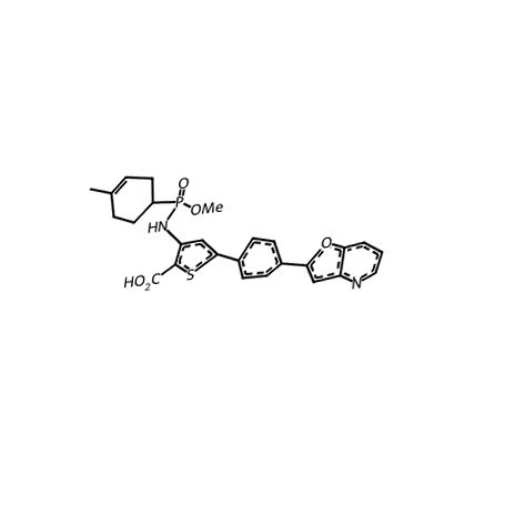 COP(=O)(Nc1cc(-c2ccc(-c3cc4ncccc4o3)cc2)sc1C(=O)O)C1CC=C(C)CC1